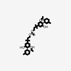 C=C(C)[C@@H]1CCC(C)=C[C@H]1c1c(O)cc(C(C)(C)CCO[N+](=O)OCCC(C)(C)c2cc(O)c([C@@H]3C=C(C)CC[C@H]3C(=C)C)c(O)c2)cc1O